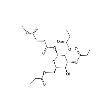 CCC(=O)OC[C@H]1O[C@@H](OC(=O)/C=C/C(=O)OC)[C@H](OC(=O)CC)[C@@H](OC(=O)CC)[C@H]1O